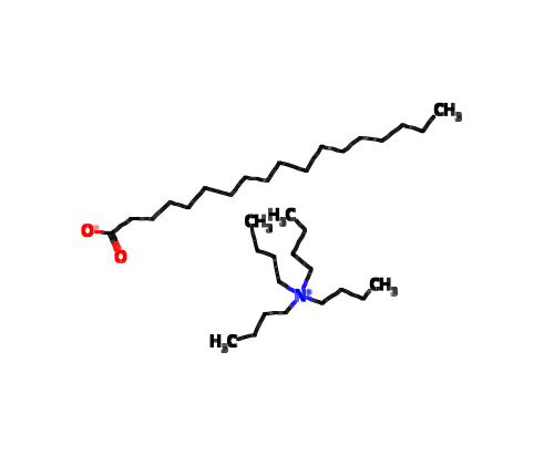 CCCCCCCCCCCCCCCCCC(=O)[O-].CCCC[N+](CCCC)(CCCC)CCCC